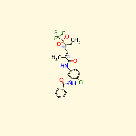 C=C/C(=C\C=C(/C)C(=O)Nc1ccc(Cl)c(NC(=O)c2ccccc2)c1)S(=O)(=O)C(F)(F)F